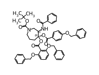 CC(C)(C)OC(=O)N1CCC[C@@](OC(=O)c2ccc(OCc3ccccc3)cc2)(OC(=O)c2c(OCc3ccccc3)cccc2OCc2ccccc2)[C@H](NC(=O)c2ccccc2)C1